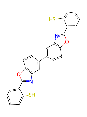 Sc1ccccc1-c1nc2cc(-c3ccc4oc(-c5ccccc5S)nc4c3)ccc2o1